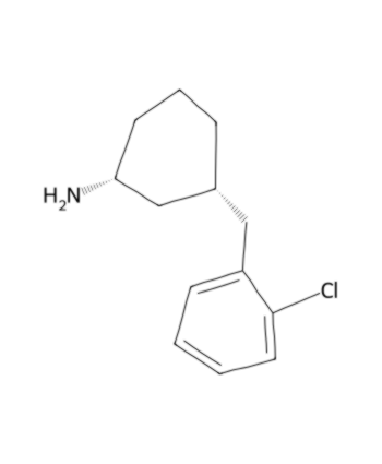 N[C@@H]1CCC[C@H](Cc2ccccc2Cl)C1